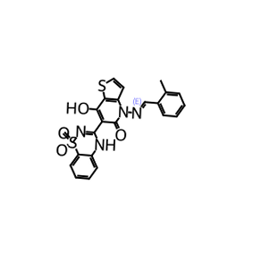 Cc1ccccc1/C=N/n1c(=O)c(C2=NS(=O)(=O)c3ccccc3N2)c(O)c2sccc21